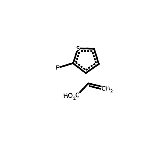 C=CC(=O)O.Fc1cccs1